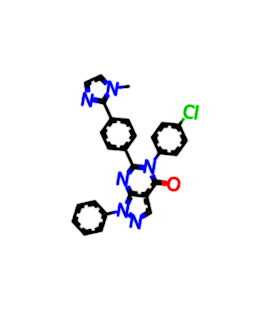 Cn1ccnc1-c1ccc(-c2nc3c(cnn3-c3ccccc3)c(=O)n2-c2ccc(Cl)cc2)cc1